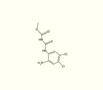 COC(=O)NC(=S)Nc1cc(Cl)c(Cl)cc1N